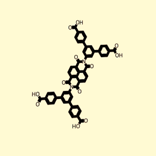 O=C(O)c1ccc(-c2cc(-c3ccc(C(=O)O)cc3)cc(N3C(=O)c4ccc5c6c(ccc(c46)C3=O)C(=O)N(c3cc(-c4ccc(C(=O)O)cc4)cc(-c4ccc(C(=O)O)cc4)c3)C5=O)c2)cc1